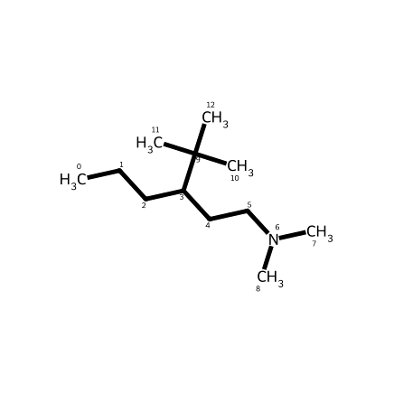 CCCC(CCN(C)C)C(C)(C)C